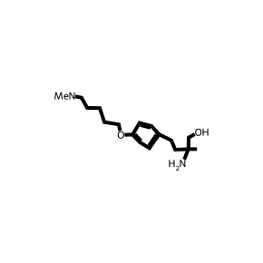 CNCCCCCOc1ccc(CCC(C)(N)CO)cc1